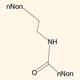 CCCCCCCCCCCNC(=O)CCCCCCCCC